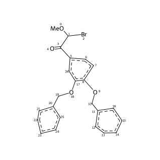 COC(Br)C(=O)c1ccc(OCc2ccccc2)c(OCc2ccccc2)c1